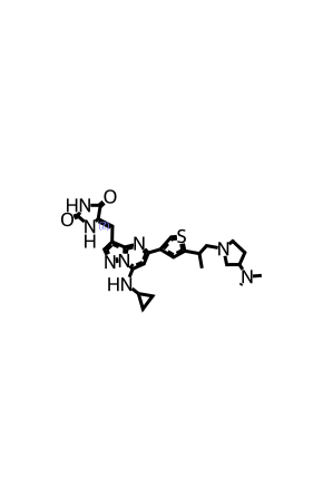 CC(CN1CCC(N(C)C)C1)c1cc(-c2cc(NC3CC3)n3ncc(/C=C4\NC(=O)NC4=O)c3n2)cs1